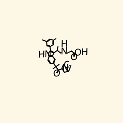 Cc1cc(C)cc(-c2[nH]c3ccc(C(C)(C)C(=O)N4CC5CCC4CC5)cc3c2C(C)CNCCC(=O)O)c1